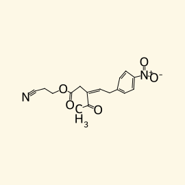 CC(=O)C(=CCc1ccc([N+](=O)[O-])cc1)CC(=O)OCCC#N